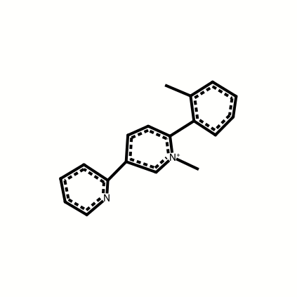 Cc1ccccc1-c1ccc(-c2ccccn2)c[n+]1C